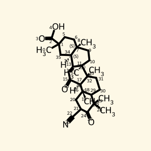 CC1(C(=O)O)CC[C@]2(C)CC[C@]3(C)C(=CC(=O)[C@@H]4[C@@]5(C)CC(C#N)C(=O)C(C)(C)C5CC[C@]43C)[C@H]2C1